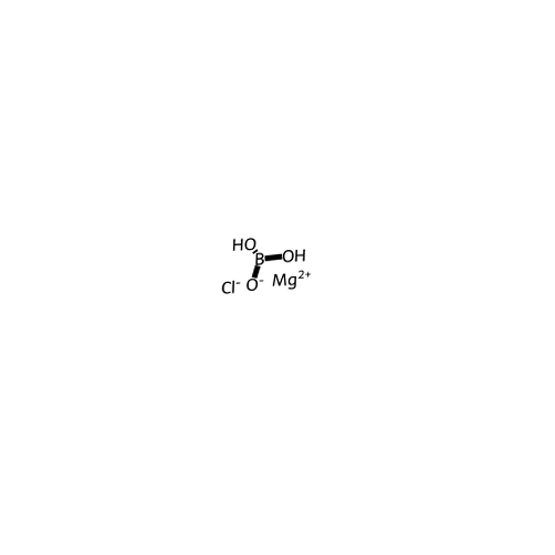 [Cl-].[Mg+2].[O-]B(O)O